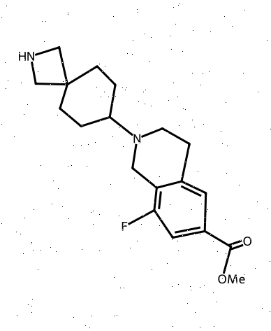 COC(=O)c1cc(F)c2c(c1)CCN(C1CCC3(CC1)CNC3)C2